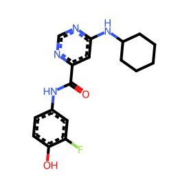 O=C(Nc1ccc(O)c(F)c1)c1cc(NC2CCCCC2)ncn1